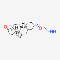 C=C1CC2CC(=NOCCNC)CC[C@]2(C)[C@H]2CC[C@]3(C)C(=O)CC[C@H]3[C@H]12